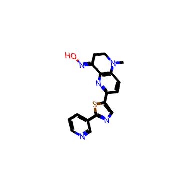 CN1CC/C(=N\O)c2nc(-c3cnc(-c4cccnc4)s3)ccc21